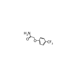 NC(=O)COc1ccc(C(F)(F)F)cc1